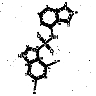 O=S(=O)(Nc1cccc2nsnc12)c1c[nH]c2cc(F)cc(F)c12